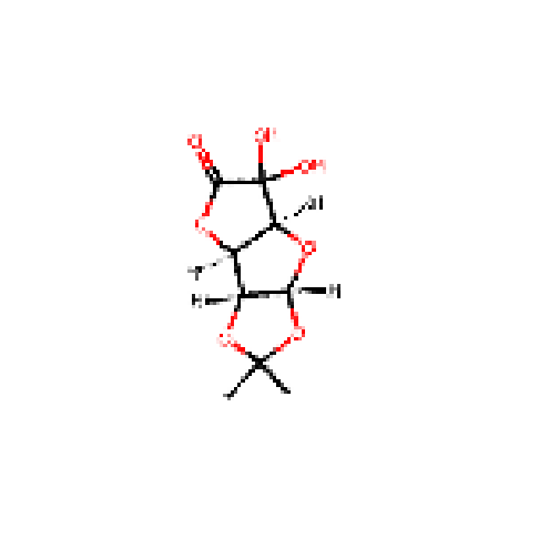 CC1(C)O[C@H]2O[C@H]3[C@H](OC(=O)C3(O)O)[C@H]2O1